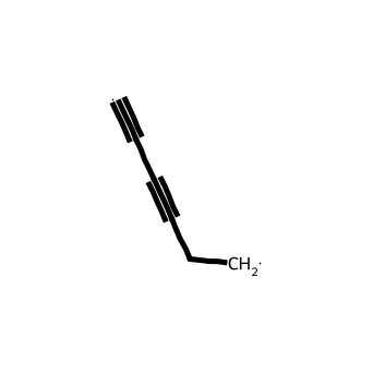 [C]#CC#CC[CH2]